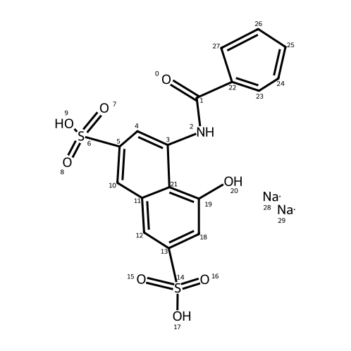 O=C(Nc1cc(S(=O)(=O)O)cc2cc(S(=O)(=O)O)cc(O)c12)c1ccccc1.[Na].[Na]